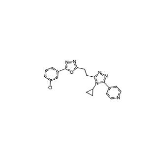 Clc1cccc(-c2nnc(CCc3nnc(-c4ccncc4)n3C3CC3)o2)c1